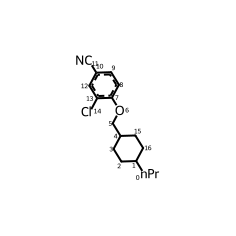 CCCC1CCC(COc2ccc(C#N)cc2Cl)CC1